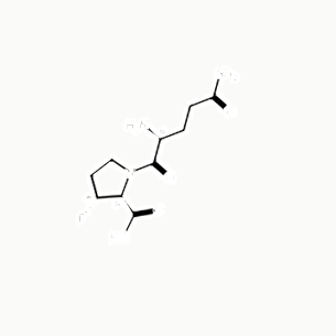 NC(=O)CC[C@H](N)C(=O)N1CC[C@@H](F)[C@@H]1C(=O)O